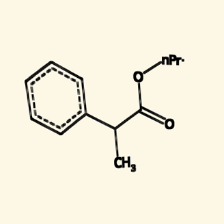 CC[CH]OC(=O)C(C)c1ccccc1